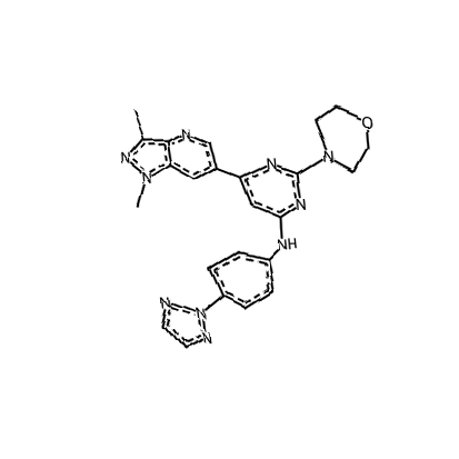 Cc1nn(C)c2cc(-c3cc(Nc4ccc(-n5nccn5)cc4)nc(N4CCOCC4)n3)cnc12